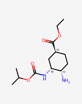 CCOC(=O)[C@H]1CC[C@H](N)[C@H](NC(=O)OC(C)C)C1